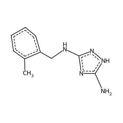 Cc1ccccc1CNc1n[nH]c(N)n1